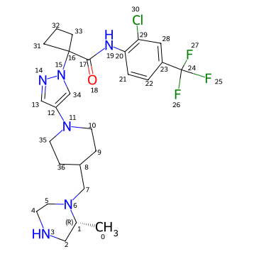 C[C@@H]1CNCCN1CC1CCN(c2cnn(C3(C(=O)Nc4ccc(C(F)(F)F)cc4Cl)CCC3)c2)CC1